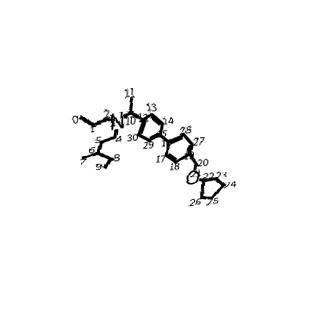 CCCN(CCC(C)CC)C(C)c1ccc(-c2ccc(COC3CCCC3)cc2)cc1